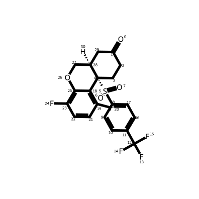 O=C1CC[C@@]2(S(=O)(=O)c3ccc(C(F)(F)F)cc3)c3c(F)ccc(F)c3OC[C@H]2C1